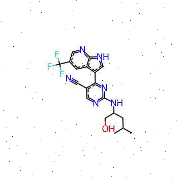 CC(C)CC(CO)Nc1ncc(C#N)c(-c2c[nH]c3ncc(C(F)(F)F)cc23)n1